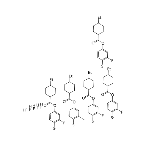 CCC1CCC(C(=O)Oc2ccc([S])c(F)c2)CC1.CCC1CCC(C(=O)Oc2ccc([S])c(F)c2)CC1.CCC1CCC(C(=O)Oc2ccc([S])c(F)c2)CC1.CCC1CCC(C(=O)Oc2ccc([S])c(F)c2)CC1.CCC1CCC(C(=O)Oc2ccc([S])c(F)c2)CC1.F.F.F.F.F